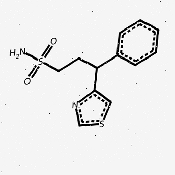 NS(=O)(=O)CCC(c1ccccc1)c1cscn1